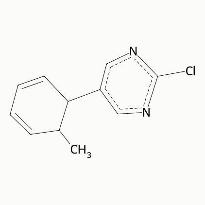 CC1C=CC=CC1c1cnc(Cl)nc1